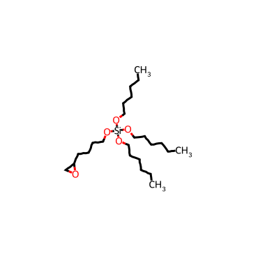 CCCCCCO[Si](OCCCCCC)(OCCCCCC)OCCCCC1CO1